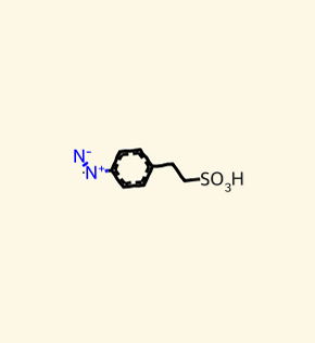 [N-]=[N+]c1ccc(CCS(=O)(=O)O)cc1